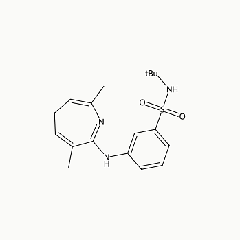 CC1=CCC=C(C)C(Nc2cccc(S(=O)(=O)NC(C)(C)C)c2)=N1